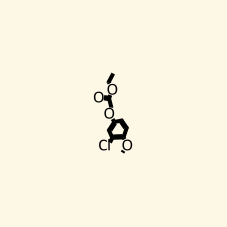 CCOC(=O)COc1ccc(OC)c(Cl)c1